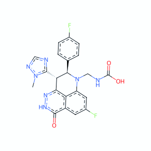 Cn1ncnc1[C@H]1c2n[nH]c(=O)c3cc(F)cc(c23)N(CNC(=O)O)[C@@H]1c1ccc(F)cc1